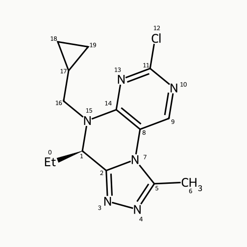 CC[C@@H]1c2nnc(C)n2-c2cnc(Cl)nc2N1CC1CC1